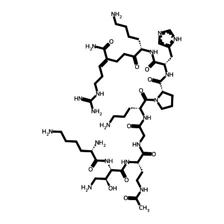 CC(=O)NCC[C@H](NC(=O)[C@@H](NC(=O)[C@@H](N)CCCCN)[C@@H](O)CN)C(=O)NCC(=O)N[C@H](CCCN)C(=O)N1CCC[C@H]1C(=O)N[C@@H](Cc1cnc[nH]1)C(=O)N[C@@H](CCCCN)C(=O)CC/C(=C\CCNC(=N)N)C(N)=O